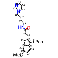 CCCCCC1=C(C=CC(=O)NCCCCN2C=CC=NC2)Cc2cc(OC)ccc21